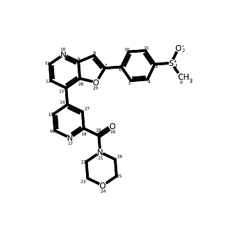 C[S+]([O-])c1ccc(-c2cc3nccc(-c4ccnc(C(=O)N5CCOCC5)c4)c3o2)cc1